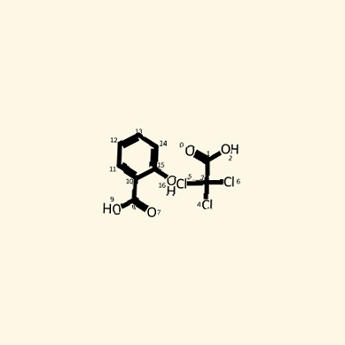 O=C(O)C(Cl)(Cl)Cl.O=C(O)c1ccccc1O